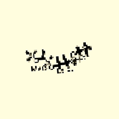 CCC(C)(O[Si](C)(OC)C(C)O[Si](C)(C)C)C(C)(CC)[SiH](C)OC(C)(CC)[Si](C)(C)C